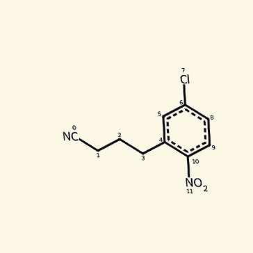 N#CCCCc1cc(Cl)ccc1[N+](=O)[O-]